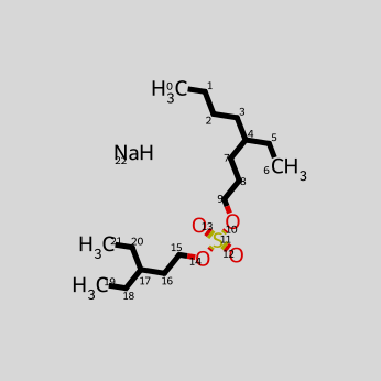 CCCCC(CC)CCCOS(=O)(=O)OCCC(CC)CC.[NaH]